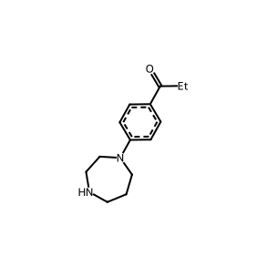 CCC(=O)c1ccc(N2CCCNCC2)cc1